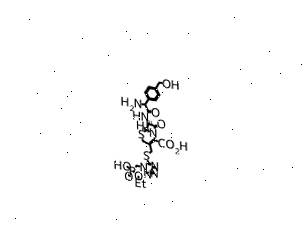 CCOP(=O)(O)Cn1nnnc1SCC1=C(C(=O)O)N2C(=O)[C@@H](NC(=O)C(N)c3ccc(CO)cc3)[C@H]2SC1